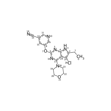 CCc1[nH]c2nc(Oc3cncc(C#N)c3)nc(N3CCOCC3)c2c1Cl